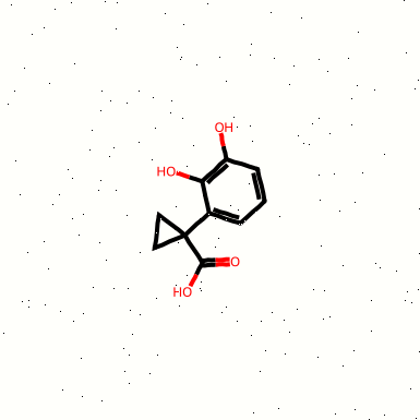 O=C(O)C1(c2cccc(O)c2O)CC1